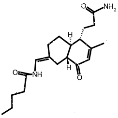 CCCCC(=O)N/C=C1/CC[C@H]2[C@H](CCC(N)=O)C(C)=CC(=O)[C@@H]2C1